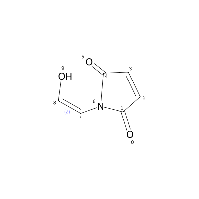 O=C1C=CC(=O)N1/C=C\O